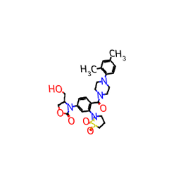 Cc1ccc(N2CCN(C(=O)c3ccc(N4C(=O)OC[C@H]4CO)cc3N3CCCS3(=O)=O)CC2)c(C)c1